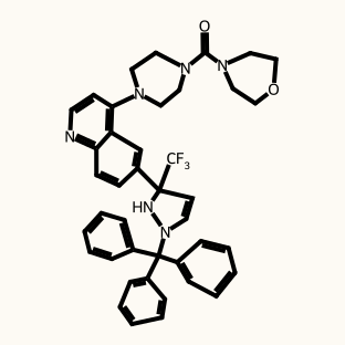 O=C(N1CCOCC1)N1CCN(c2ccnc3ccc(C4(C(F)(F)F)C=CN(C(c5ccccc5)(c5ccccc5)c5ccccc5)N4)cc23)CC1